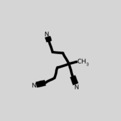 CC(C#N)(CCC#N)CCC#N